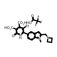 CCc1c(-c2ccc3c(c2)cc(CN2CCC2)n3C)[nH]c(=O)c(C(=O)O)c1C(=O)O.O=C(O)C(F)(F)F